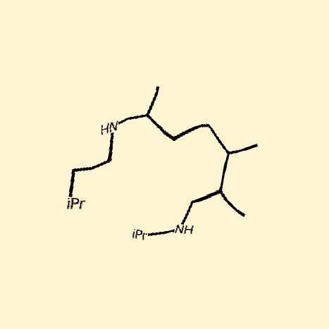 CC(C)CCNC(C)CCC(C)C(C)CNC(C)C